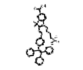 CC1(C)C(C=Cc2ccc(C(=C(c3ccccc3)c3ccccc3)c3ccccc3)cc2)=[N+](CCCCS(=O)(=O)[O-])c2ccc(C(=O)O)cc21